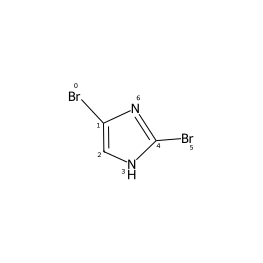 Brc1c[nH]c(Br)n1